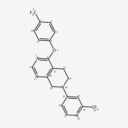 FC(F)(F)c1ccc(Oc2ncnc3c2CCN(c2ccnc(C(F)(F)F)c2)C3)cc1